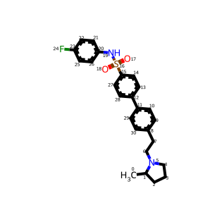 CC1CCCN1CCc1ccc(-c2ccc(S(=O)(=O)Nc3ccc(F)cc3)cc2)cc1